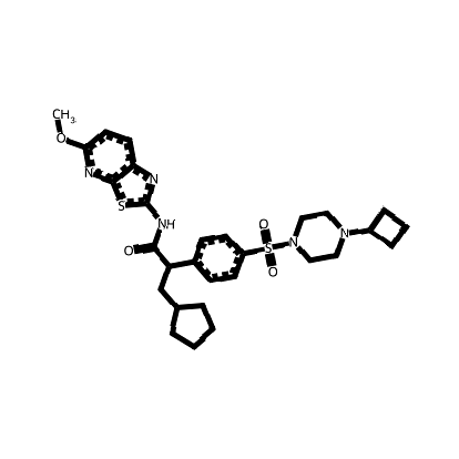 COc1ccc2nc(NC(=O)C(CC3CCCC3)c3ccc(S(=O)(=O)N4CCN(C5CCC5)CC4)cc3)sc2n1